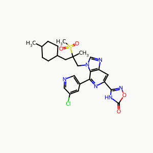 CC1CCC(CC(C)(Cn2cnc3cc(-c4noc(=O)[nH]4)nc(-c4cncc(Cl)c4)c32)S(C)(=O)=O)CC1